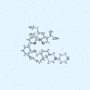 CC[C@@H](C)Oc1c(C(=O)O)cnn1-c1cccc(-c2cccc(C)c2OCc2ccc3c(c2C)CCN(C2CCOCC2)C3)n1